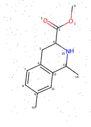 COC(=O)C1Cc2ccc(C)cc2C(C)N1